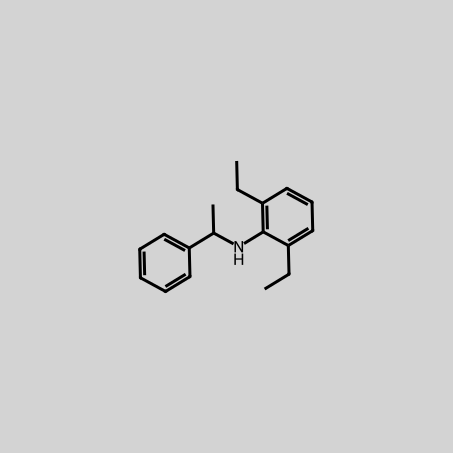 CCc1cccc(CC)c1NC(C)c1ccccc1